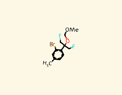 COCOC(CF)(CF)c1ccc(C)cc1Br